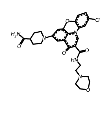 NC(=O)C1CCN(c2cc3c4c(c2)c(=O)c(C(=O)NCCN2CCOCC2)cn4-c2cc(Cl)ccc2O3)CC1